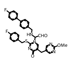 COc1ncc(Cc2cn(C(C=O)NCc3ccc(-c4ccc(F)cc4)cc3)c(SCc3ccc(F)cc3)nc2=O)cn1